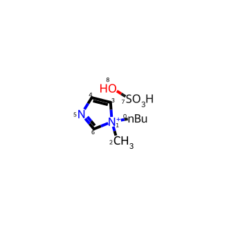 CCCC[N+]1(C)C=CN=C1.O=S(=O)(O)O